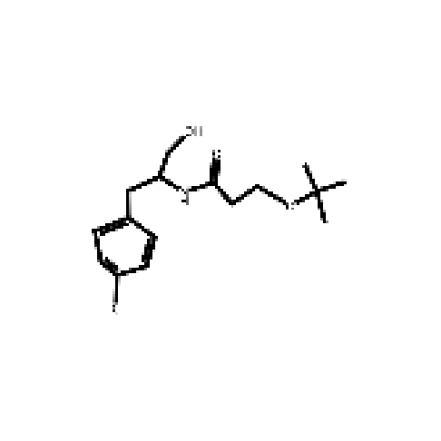 CC(C)(C)OCCC(=O)NC(CO)Cc1ccc(Cl)cc1